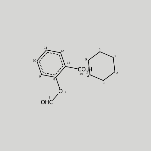 C1CCCCC1.O=COc1ccccc1C(=O)O